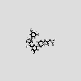 Cc1cc(Nc2ncn(-c3cc(F)cc(F)c3)n2)cc(N2CCN(CC(O)CN(C)C)CC2)c1